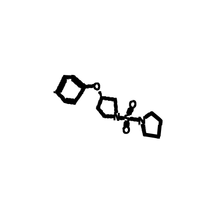 O=S(=O)(N1CCCC1)N1CC[C@H](Oc2cc[c]cc2)C1